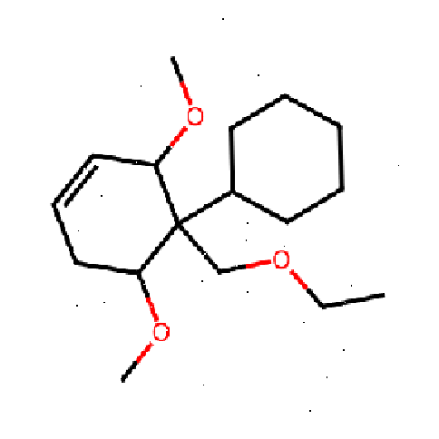 CCOCC1(C2CCCCC2)C(OC)C=CCC1OC